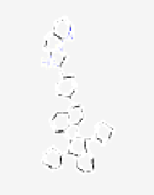 C1=CCCC(C2=c3ccccc3=C(C3=CC=CCC3)C3C4=CC=C(C5=CC=C(C6=CN7C8=C(C=CC7N6)CCC=N8)CC5)C5C=CC=C(C45)C23)=C1